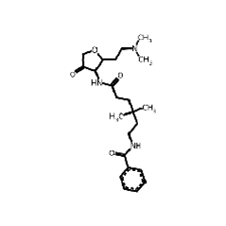 CN(C)CCC1OCC(=O)C1NC(=O)CCC(C)(C)CCNC(=O)c1ccccc1